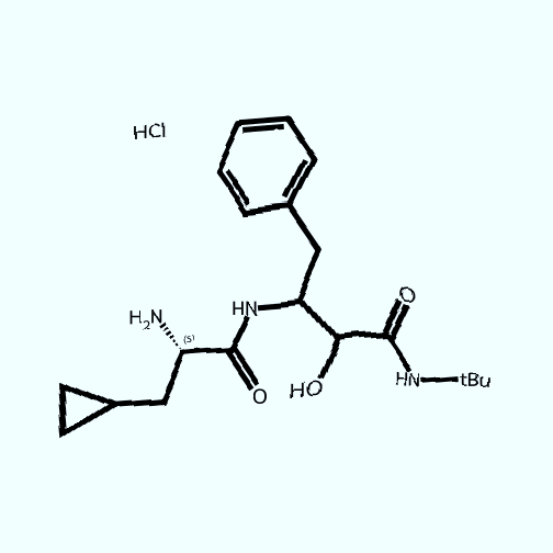 CC(C)(C)NC(=O)C(O)C(Cc1ccccc1)NC(=O)[C@@H](N)CC1CC1.Cl